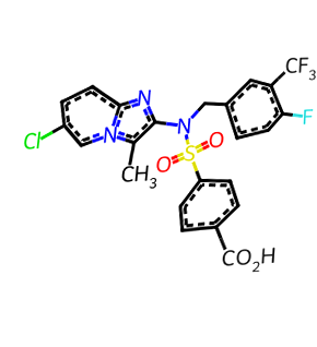 Cc1c(N(Cc2ccc(F)c(C(F)(F)F)c2)S(=O)(=O)c2ccc(C(=O)O)cc2)nc2ccc(Cl)cn12